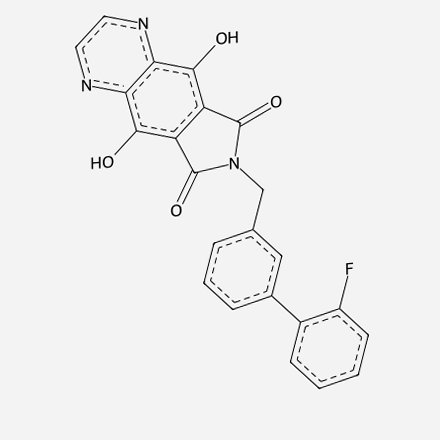 O=C1c2c(c(O)c3nccnc3c2O)C(=O)N1Cc1cccc(-c2ccccc2F)c1